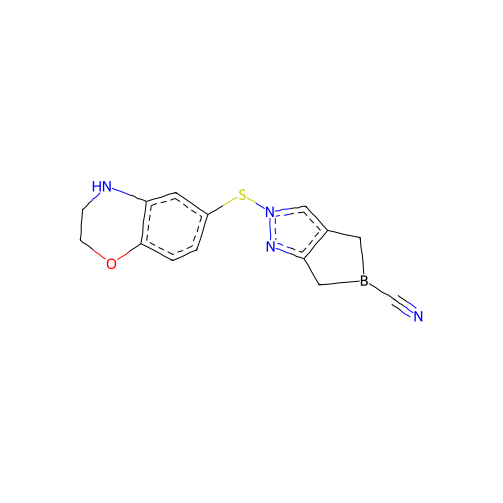 N#CB1Cc2cn(Sc3ccc4c(c3)NCCO4)nc2C1